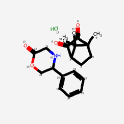 CC12CCC(C(=O)C1=O)C2(C)C.Cl.O=C1CNC(c2ccccc2)CO1